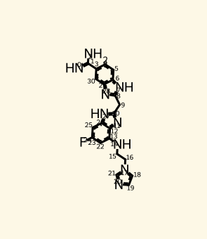 N=C(N)c1ccc2[nH]c(Cc3nc4c(NCCn5ccnc5)cc(F)cc4[nH]3)nc2c1